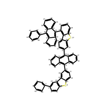 c1ccc(-c2ccc3sc4ccc(-c5c6ccccc6c(-c6ccc7c(c6)sc6cccc(-c8c9ccccc9c(-c9ccccc9)c9ccccc89)c67)c6ccccc56)cc4c3c2)cc1